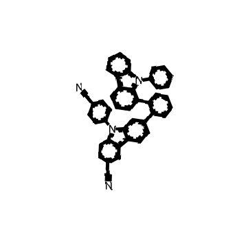 N#Cc1ccc(-n2c3ccc(C#N)cc3c3ccc(-c4ccccc4-c4cccc5c6ccccc6n(-c6ccccc6)c45)cc32)cc1